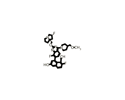 C#Cc1c(F)ccc2cc(O)cc(-c3ccc4c(N5CCC(COC)CC5)nc(OC[C@@]56CCCN5C[C@H](F)C6)nc4c3F)c12